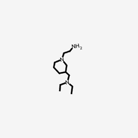 CCN(CC)CC1CCCN(CCN)C1